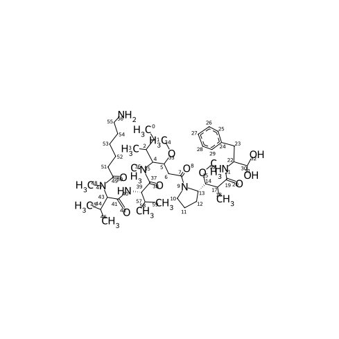 CCC(C)C(C(CC(=O)N1CCC[C@H]1C(OC)C(C)C(=O)NC(Cc1ccccc1)C(O)O)OC)N(C)C(=O)[C@@H](NC(=O)C(C(C)C)N(C)C(=O)CCCCCN)C(C)C